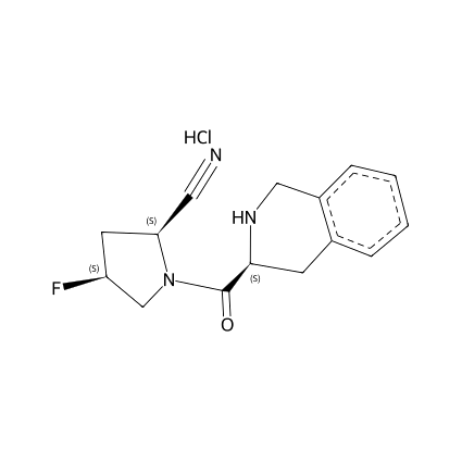 Cl.N#C[C@@H]1C[C@H](F)CN1C(=O)[C@@H]1Cc2ccccc2CN1